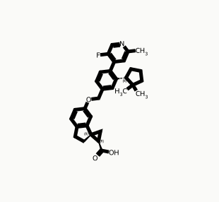 Cc1cc(-c2ccc(COc3ccc4c(c3)[C@]3(CC4)C[C@H]3C(=O)O)cc2[C@@H]2CCCC2(C)C)c(F)cn1